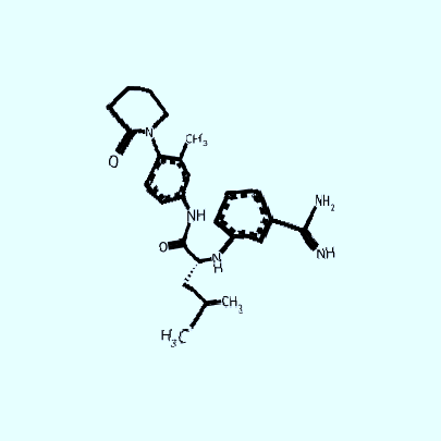 Cc1cc(NC(=O)[C@@H](CC(C)C)Nc2cccc(C(=N)N)c2)ccc1N1CCCCC1=O